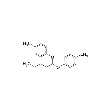 CCCCC(Oc1ccc(C)cc1)Oc1ccc(C)cc1